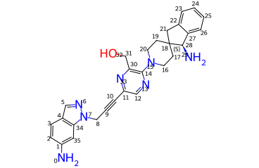 Nc1ccc2cnn(CC#Cc3cnc(N4CCC5(CC4)Cc4ccccc4[C@H]5N)c(CO)n3)c2c1